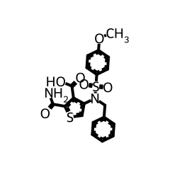 COc1ccc(S(=O)(=O)N(Cc2ccccc2)c2csc(C(N)=O)c2C(=O)O)cc1